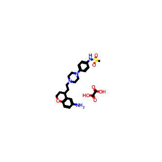 CS(=O)(=O)Nc1ccc(N2CCN(CCC3CCOc4ccc(N)cc43)CC2)cc1.O=C(O)C(=O)O